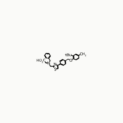 Cc1ccc(OCc2ccc(-c3csc(CN(CC(=O)O)Cc4ccccc4)n3)cc2)c(C(C)(C)C)c1